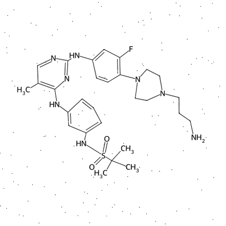 Cc1cnc(Nc2ccc(N3CCN(CCCN)CC3)c(F)c2)nc1Nc1cccc(NS(=O)(=O)C(C)(C)C)c1